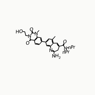 CCCN(CCC)C(=O)C1=Cc2c(C)cc(-c3ccc4c(=O)n(CCO)c(=O)n(C)c4c3)cc2N=C(N)C1